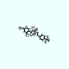 O=C(NS(=O)(=O)C=Cc1ccc(C(F)(F)F)cc1)c1ccc(Br)cc1Cl